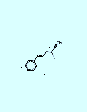 C#CC(O)CC=Cc1ccccc1